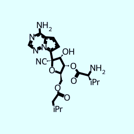 CC(C)CC(=O)OC[C@H]1O[C@@](C#N)(c2ccc3c(N)ncnn23)[C@H](O)[C@@H]1OC(=O)[C@@H](N)C(C)C